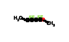 C/C=C/CCC1CCC(c2ccc(-c3ccc(-c4ccc(OCCCCC)c(F)c4F)cc3)c(F)c2F)CC1